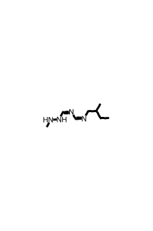 CCC(C)C/N=C\N=C/NNC